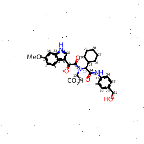 COc1ccc2c(C(=O)C(=O)N(CC(=O)O)C(C(=O)Nc3ccc(CO)cc3)C3CCCCC3)c[nH]c2c1